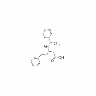 CC(NC(CCc1ccccc1)CC(=O)O)c1ccccc1